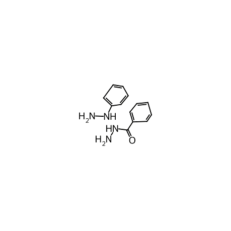 NNC(=O)c1ccccc1.NNc1ccccc1